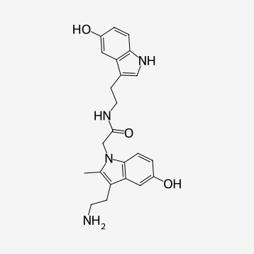 Cc1c(CCN)c2cc(O)ccc2n1CC(=O)NCCc1c[nH]c2ccc(O)cc12